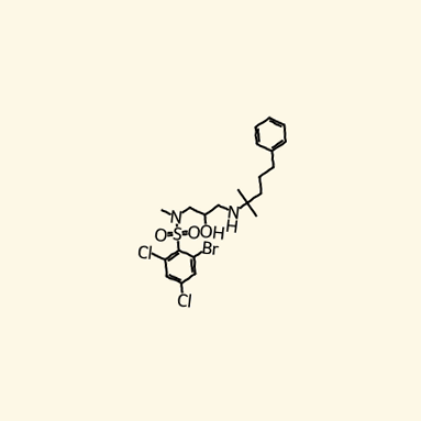 CN(CC(O)CNC(C)(C)CCCc1ccccc1)S(=O)(=O)c1c(Cl)cc(Cl)cc1Br